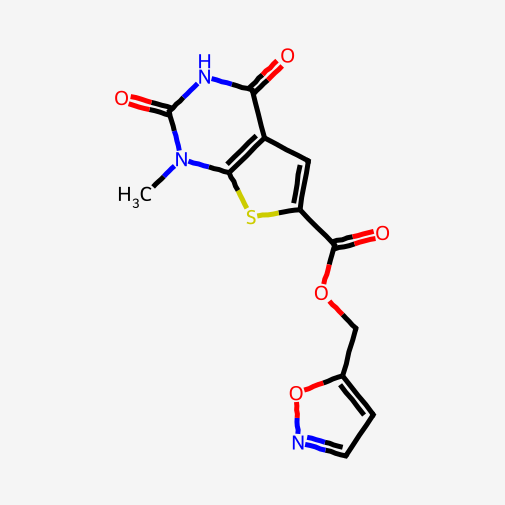 Cn1c(=O)[nH]c(=O)c2cc(C(=O)OCc3ccno3)sc21